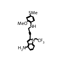 COc1cc(SC)ccc1NCC#Cc1cc2c(N)cccc2n1CC(F)(F)F